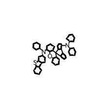 c1ccc(N(c2ccc3c(c2)sc2ccccc23)c2cccc3c2Oc2ccccc2C32c3ccccc3-c3c(N(c4ccccc4)c4ccccc4)cccc32)cc1